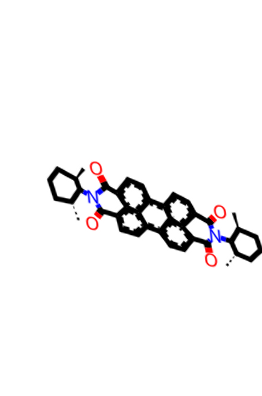 C[C@@H]1CCC[C@@H](C)C1N1C(=O)c2ccc3c4ccc5c6c(ccc(c7ccc(c2c37)C1=O)c64)C(=O)N(C1[C@@H](C)CCC[C@@H]1C)C5=O